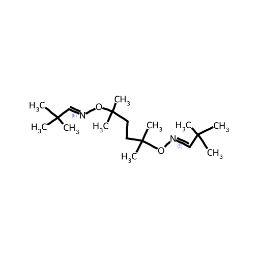 CC(C)(C)/C=N/OC(C)(C)CCC(C)(C)O/N=C/C(C)(C)C